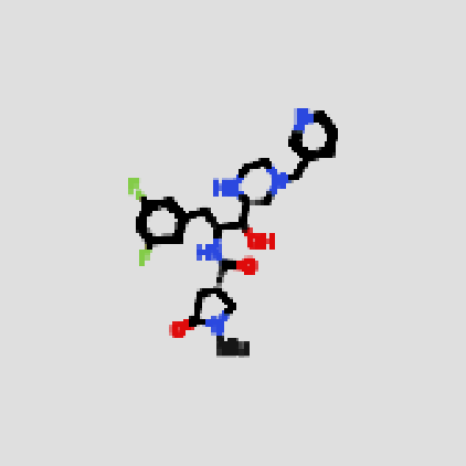 CCCCN1C[C@@H](C(=O)N[C@@H](Cc2cc(F)cc(F)c2)[C@H](O)[C@H]2CN(Cc3cccnc3)CCN2)CC1=O